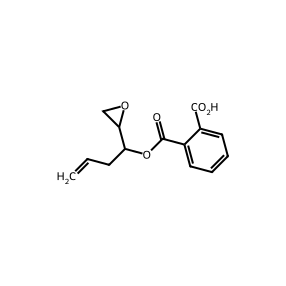 C=CCC(OC(=O)c1ccccc1C(=O)O)C1CO1